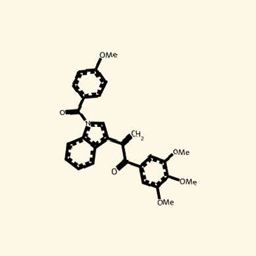 C=C(C(=O)c1cc(OC)c(OC)c(OC)c1)c1cn(C(=O)c2ccc(OC)cc2)c2ccccc12